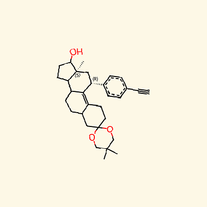 C#Cc1ccc([C@H]2C[C@]3(C)C(O)CCC3C3CCC4CC5(CCC4=C32)OCC(C)(C)CO5)cc1